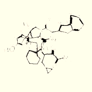 CC1(C)[C@@H]2[C@@H](C(=O)NC(CC3CC3)C(=O)C(N)=O)N(C(=O)[C@@H](NC(=O)NC3(Cc4cccc(O)c4)CCCCC3)C3Cc4ccccc4C3)C[C@@H]21